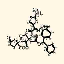 CON=C(C(=O)N[C@@]1(CC(=O)OC(c2ccccc2)c2ccccc2)CON(C2(C(=O)[O-])CCC(=O)O2)C1=O)c1csc(N)n1.[Na+]